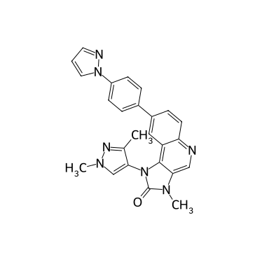 Cc1nn(C)cc1-n1c(=O)n(C)c2cnc3ccc(-c4ccc(-n5cccn5)cc4)cc3c21